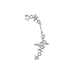 Cc1ncsc1-c1ccc([C@H](C)NC(=O)[C@@H]2C[C@@H](O)CN2C(=O)C(NC(=O)CN2CCOC(COCCCCCOc3ccc(N4C(=S)N(c5ccc(C#N)c(C(F)(F)F)c5)C(=O)C4(C)C)cc3)C2)C(C)(C)C)cc1